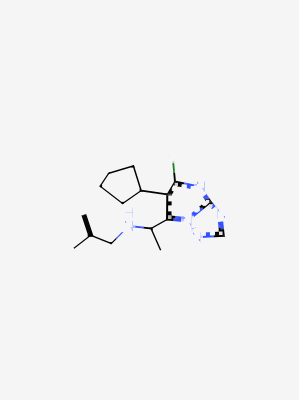 C=C(C)CNC(C)c1c(C2CCCC2)c(Cl)nc2ncnn12